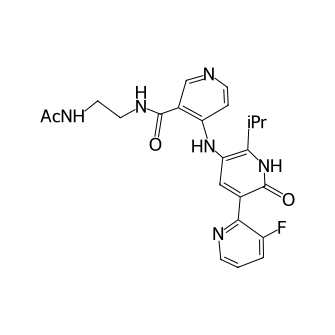 CC(=O)NCCNC(=O)c1cnccc1Nc1cc(-c2ncccc2F)c(=O)[nH]c1C(C)C